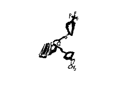 COc1ccc(CCC2(Cn3ccnc3)OCC(CSc3ccc(C(F)(F)F)cc3)O2)cc1